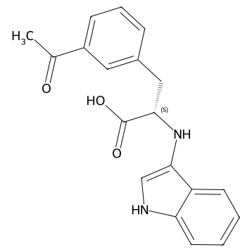 CC(=O)c1cccc(C[C@H](Nc2c[nH]c3ccccc23)C(=O)O)c1